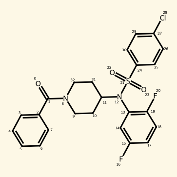 O=C(c1ccccc1)N1CCC(N(c2cc(F)ccc2F)S(=O)(=O)c2ccc(Cl)cc2)CC1